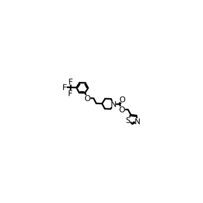 O=C(OCc1cncs1)N1CCC(CCOc2cccc(C(F)(F)F)c2)CC1